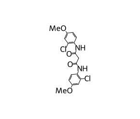 COc1ccc(NC(=O)CC(=O)Nc2ccc(OC)cc2Cl)c(Cl)c1